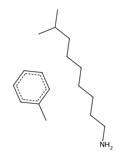 CC(C)CCCCCCCN.Cc1ccccc1